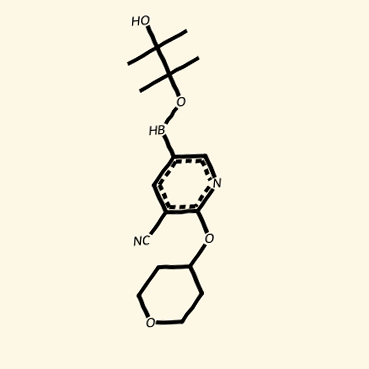 CC(C)(O)C(C)(C)OBc1cnc(OC2CCOCC2)c(C#N)c1